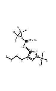 CCCCc1cn(C(C)(C)C)sc1=NC(=O)C1C(C)(C)C1(C)C